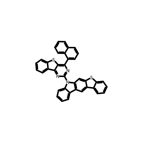 c1ccc2c(-c3nc(-n4c5ccccc5c5cc6c(cc54)sc4ccccc46)nc4c3sc3ccccc34)cccc2c1